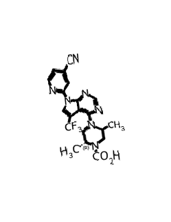 CC1CN(C(=O)O)[C@H](C)CN1c1ncnc2c1c(C(F)(F)F)cn2-c1cc(C#N)ccn1